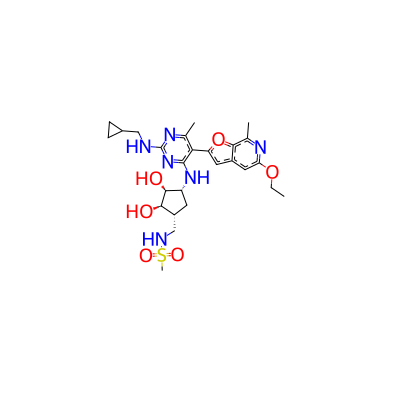 CCOc1cc2cc(-c3c(C)nc(NCC4CC4)nc3N[C@@H]3C[C@H](CNS(C)(=O)=O)[C@@H](O)[C@H]3O)oc2c(C)n1